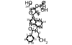 C=CCN(C(=O)c1ccccc1)c1ncnc2c1ncn2C1O[C@H](CO)[C@@H](O[PH](=O)O)[C@H]1F